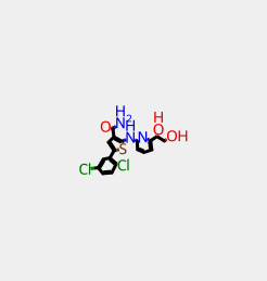 NC(=O)c1cc(-c2cc(Cl)ccc2Cl)sc1Nc1cccc(C(O)CO)n1